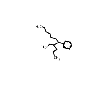 CCCCCCC(c1[c]cccc1)C(CC)CCC